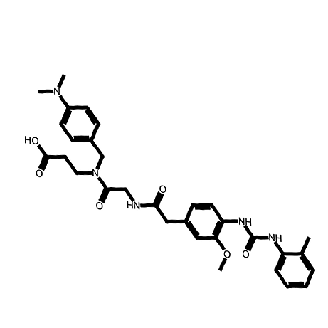 COc1cc(CC(=O)NCC(=O)N(CCC(=O)O)Cc2ccc(N(C)C)cc2)ccc1NC(=O)Nc1ccccc1C